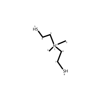 C[N+](C)(CCS)CCS